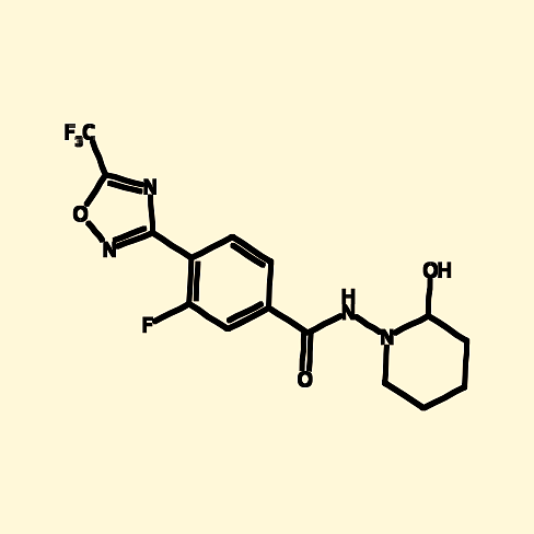 O=C(NN1CCCCC1O)c1ccc(-c2noc(C(F)(F)F)n2)c(F)c1